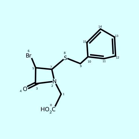 O=C(O)CN1C(=O)C(Br)C1SCc1ccccc1